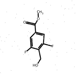 COC(=O)c1cc(F)c(CO)c(F)c1